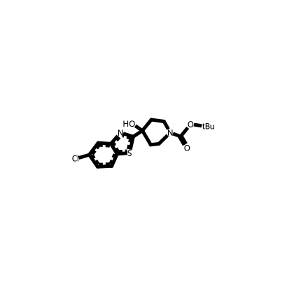 CC(C)(C)OC(=O)N1CCC(O)(c2nc3cc(Cl)ccc3s2)CC1